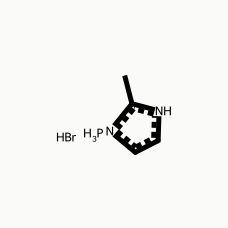 Br.Cc1ncc[nH]1.P